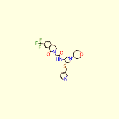 O=C(CN1CCc2ccc(C(F)(F)F)cc2C1=O)NC1CN(C2CCCOCC2)C[C@@H]1SCc1cccnc1